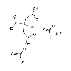 O=C(O)CC(O)(CC(=O)O)C(=O)O.O=[N+]([O-])[O-].O=[N+]([O-])[O-].[Zn+2]